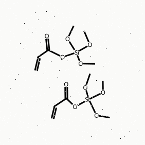 C=CC(=O)O[Si](OC)(OC)OC.C=CC(=O)O[Si](OC)(OC)OC